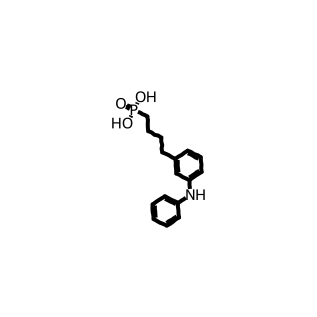 O=P(O)(O)CCCCc1cccc(Nc2ccccc2)c1